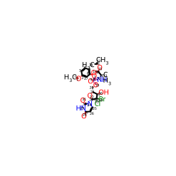 COc1cccc(O[P@](=O)(N[C@@H](C)C(=O)OC(C)C)OC[C@H]2O[C@@H](n3ccc(=O)[nH]c3=O)[C@](Cl)(Br)[C@@H]2O)c1